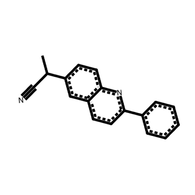 CC(C#N)c1ccc2nc(-c3ccccc3)ccc2c1